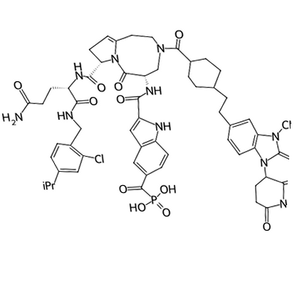 CC(C)c1ccc(CNC(=O)[C@H](CCC(N)=O)NC(=O)[C@@H]2CC=C3CCN(C(=O)C4CCC(CCc5ccc6c(c5)n(C)c(=O)n6C5CCC(=O)NC5=O)CC4)C[C@H](NC(=O)c4cc5cc(C(=O)P(=O)(O)O)ccc5[nH]4)C(=O)N32)c(Cl)c1